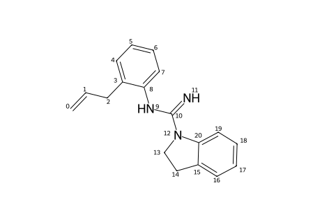 C=CCc1ccccc1NC(=N)N1CCc2ccccc21